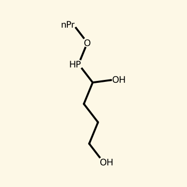 CCCOPC(O)CCCO